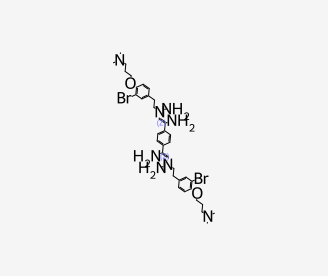 CN(C)CCCOc1ccc(CCN(N)/C=C(\N)c2ccc(/C(N)=C/N(N)CCc3ccc(OCCCN(C)C)c(Br)c3)cc2)cc1Br